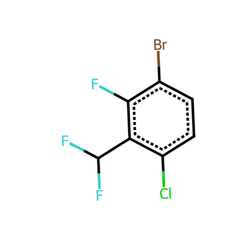 Fc1c(Br)ccc(Cl)c1C(F)F